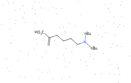 C=C(CCCCN(CCCC)CCCC)C(=O)O